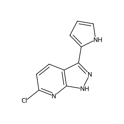 Clc1ccc2c(-c3ccc[nH]3)n[nH]c2n1